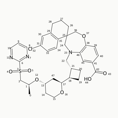 C[C@@H](CS(=O)(=O)c1ncccn1)O[C@H]1CCO[C@H]([C@@H]2CC[C@H]2CN2CC3(CCCc4cc(Cl)ccc43)COc3ccc(C(=O)O)cc32)C1